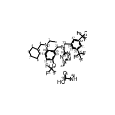 CCN(CC1CCCCC1)c1ccc(OC(F)(F)F)cc1CN(Cc1cc(C(F)(F)F)cc(C(F)(F)F)c1)c1nnn(C)n1.CNC(=O)O